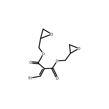 CCC=C(C(=O)OCC1CO1)C(=O)OCC1CO1